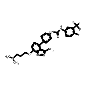 CN(C)CCCOc1ccc(-c2ccc(NC(=O)Nc3ccc(F)c(C(F)(F)F)c3)cc2)c2c(N)n[nH]c12